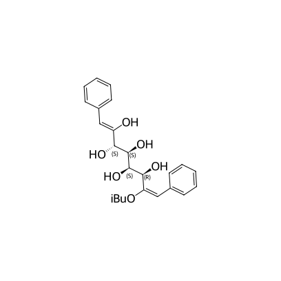 CC(C)COC(=Cc1ccccc1)[C@H](O)[C@@H](O)[C@H](O)[C@H](O)C(O)=Cc1ccccc1